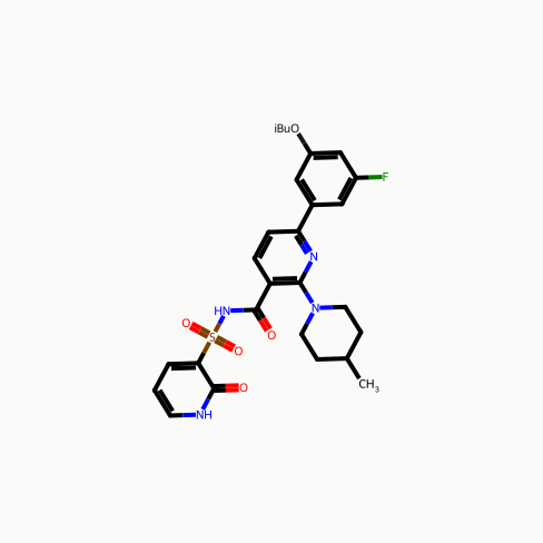 CC(C)COc1cc(F)cc(-c2ccc(C(=O)NS(=O)(=O)c3ccc[nH]c3=O)c(N3CCC(C)CC3)n2)c1